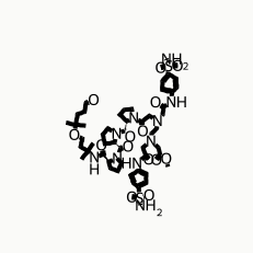 COC(=O)CN(CCN(CC(=O)Nc1ccc(S(N)(=O)=O)cc1)CC(=O)N1CCC[C@H]1C(=O)N1CCC[C@H]1C(=O)N1CCC[C@H]1C(=O)NC(C)(C)CCOC(C)(C)CCC=O)CC(=O)Nc1ccc(S(N)(=O)=O)cc1